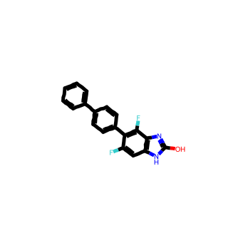 Oc1nc2c(F)c(-c3ccc(-c4ccccc4)cc3)c(F)cc2[nH]1